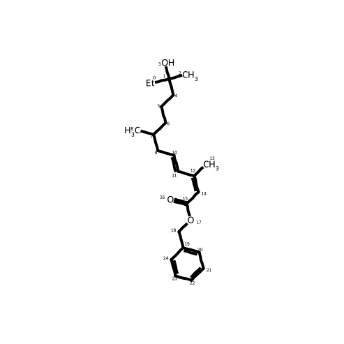 CCC(C)(O)CCCC(C)CC=CC(C)=CC(=O)OCc1ccccc1